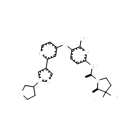 Cc1nc(NC(=O)N2CCC(C)(C)C2=O)ccc1Oc1ccnc(-c2cnn(C3CCOC3)c2)c1